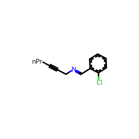 CCCC#CC/N=C/c1ccccc1Cl